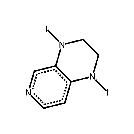 IN1CCN(I)c2cnccc21